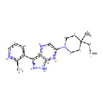 CNCC1(C)CCN(c2cnc3c(-c4cccnc4C)n[nH]c3n2)CC1